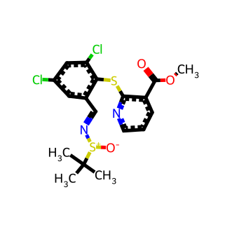 COC(=O)c1cccnc1Sc1c(Cl)cc(Cl)cc1C=N[S+]([O-])C(C)(C)C